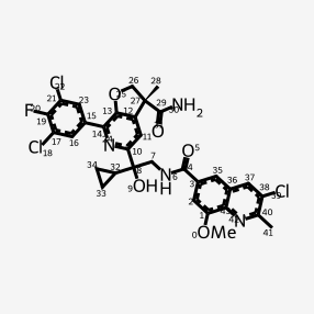 COc1cc(C(=O)NCC(O)(c2cc3c(c(-c4cc(Cl)c(F)c(Cl)c4)n2)OC[C@]3(C)C(N)=O)C2CC2)cc2cc(Cl)c(C)nc12